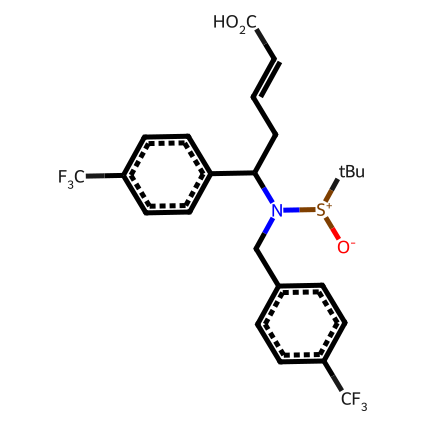 CC(C)(C)[S+]([O-])N(Cc1ccc(C(F)(F)F)cc1)C(CC=CC(=O)O)c1ccc(C(F)(F)F)cc1